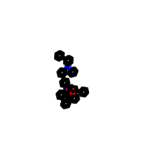 c1ccc(-c2ccc(N(c3ccc(-c4cccc5c4c4ccccc4n5-c4cccc(-c5ccccc5)c4)cc3)c3cccc4c3C3(c5ccccc5-c5ccccc53)c3ccccc3-4)cc2)cc1